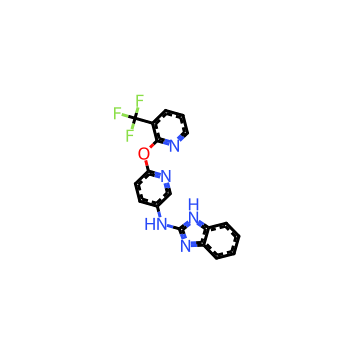 FC(F)(F)c1cccnc1Oc1ccc(Nc2nc3ccccc3[nH]2)cn1